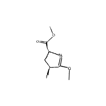 COC(=O)[C@@H]1C[C@H](F)C(OC)=N1